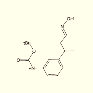 CC(CC=NO)c1cccc(NC(=O)OC(C)(C)C)c1